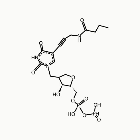 CCCC(=O)NCC#Cc1cn(CC2CO[C@H](COP(=O)(O)O[PH](=O)O)[C@H]2O)c(=O)[nH]c1=O